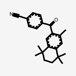 Cc1cc2c(cc1C(=O)c1ccc(C#N)cc1)C(C)(C)CCC2(C)C